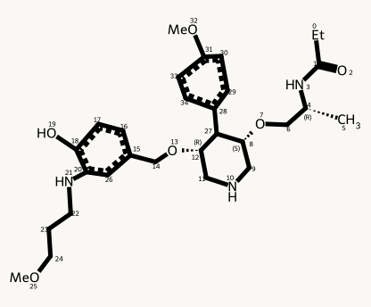 CCC(=O)N[C@H](C)CO[C@@H]1CNC[C@H](OCc2ccc(O)c(NCCCOC)c2)C1c1ccc(OC)cc1